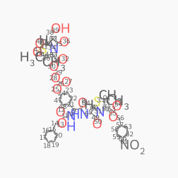 CC1(C)S[C@@H]2C(NC(=O)C(NC(=O)OCc3ccccc3)c3ccc(OC(=O)OCOC(=O)[C@@H]4N5C(=O)[C@@H](CO)[C@H]5S(=O)(=O)C4(C)C)cc3)C(=O)N2[C@H]1C(=O)OCc1ccc([N+](=O)[O-])cc1